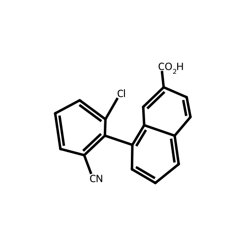 N#Cc1cccc(Cl)c1-c1cccc2ccc(C(=O)O)cc12